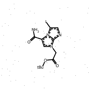 CC(C)(C)OC(=O)Cn1cc(C(N)=O)n2c(I)cnc12